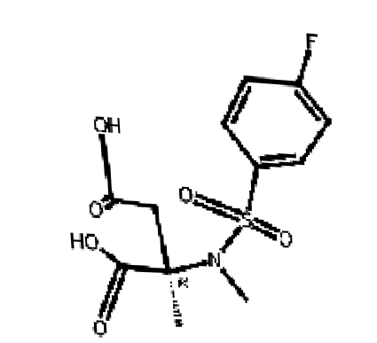 CN([C@](C)(CC(=O)O)C(=O)O)S(=O)(=O)c1ccc(F)cc1